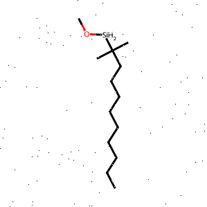 CCCCCCCCCC(C)(C)[SiH2]OC